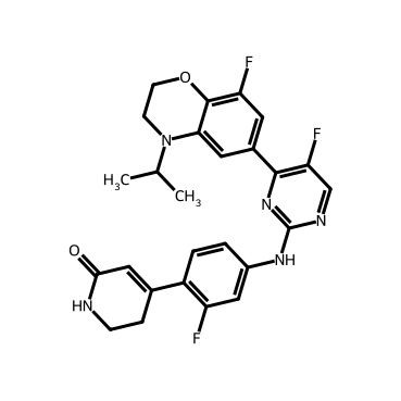 CC(C)N1CCOc2c(F)cc(-c3nc(Nc4ccc(C5=CC(=O)NCC5)c(F)c4)ncc3F)cc21